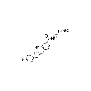 CCCCCCCCCCCCNC(=O)c1ccc(CNCc2ccc(I)cc2)c(Br)c1